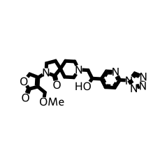 COCC1=C(N2CCC3(CCN(CC(O)c4ccc(-n5cnnn5)nc4)CC3)C2=O)COC1=O